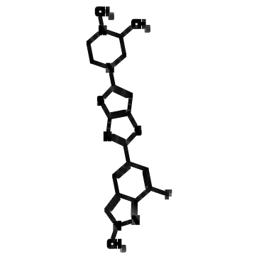 CC1CN(c2cc3sc(-c4cc(F)c5nn(C)cc5c4)nc3s2)CCN1C